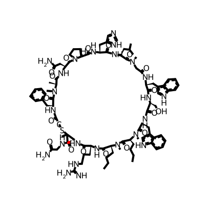 CCCC[C@H]1C(=O)N(C)[C@@H](CCCC)C(=O)N[C@@H](CCCNC(=N)N)C(=O)N[C@H](C(=O)NCC(N)=O)C(C)(C)SCC(=O)N[C@@H](Cc2ccccc2)C(=O)N(C)[C@@H](C)C(=O)N[C@@H](CC(N)=O)C(=O)N2CCC[C@H]2C(=O)N[C@@H](Cc2cnc[nH]2)C(=O)N[C@@H](CC(C)C)C(=O)N(C)CC(=O)N[C@@H](Cc2c[nH]c3ccccc23)C(=O)N[C@@H](CO)C(=O)N[C@@H](Cc2c[nH]c3ccccc23)C(=O)N1C